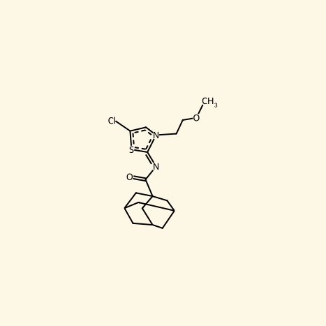 COCCn1cc(Cl)s/c1=N\C(=O)C12CC3CC(CC(C3)C1)C2